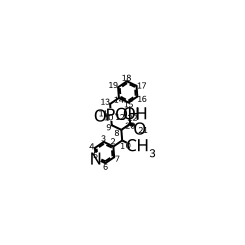 CC(c1ccncc1)C(CP(=O)(O)Cc1ccccc1)C(=O)O